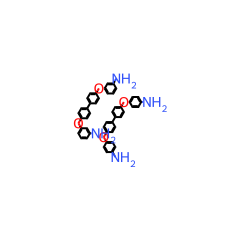 Nc1ccc(Oc2ccc(-c3ccc(Oc4ccc(N)cc4)cc3)cc2)cc1.Nc1cccc(Oc2ccc(-c3ccc(Oc4cccc(N)c4)cc3)cc2)c1